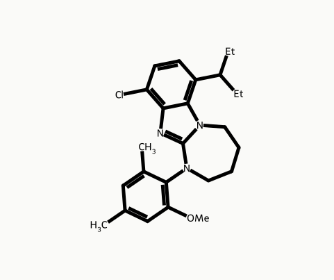 CCC(CC)c1ccc(Cl)c2nc3n(c12)CCCCN3c1c(C)cc(C)cc1OC